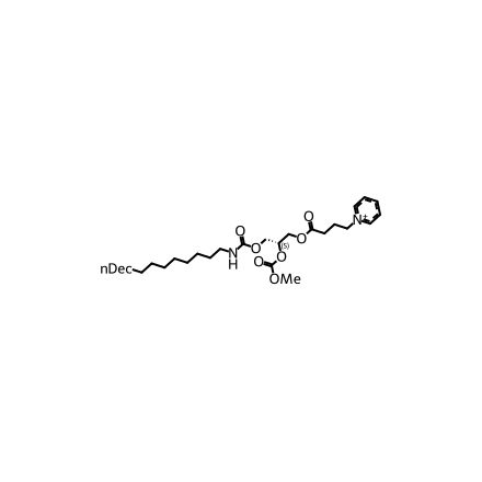 CCCCCCCCCCCCCCCCCCNC(=O)OC[C@H](COC(=O)CCC[n+]1ccccc1)OC(=O)OC